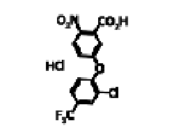 Cl.O=C(O)c1cc(Oc2ccc(C(F)(F)F)cc2Cl)ccc1[N+](=O)[O-]